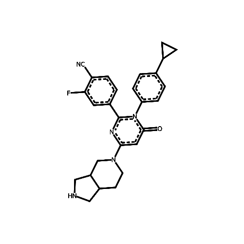 N#Cc1ccc(-c2nc(N3CCC4CNCC4C3)cc(=O)n2-c2ccc(C3CC3)cc2)cc1F